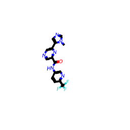 Cn1cncc1-c1cncc(C(=O)Nc2ccc(C(F)(F)F)nc2)n1